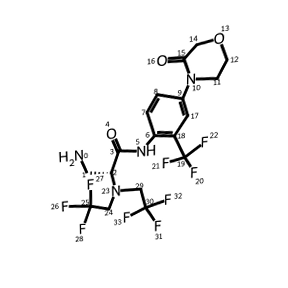 NC[C@H](C(=O)Nc1ccc(N2CCOCC2=O)cc1C(F)(F)F)N(CC(F)(F)F)CC(F)(F)F